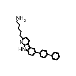 NCCCCCc1ccc2c(n1)[nH]c1ccc(-c3ccc(-c4ccccc4)cc3)cc12